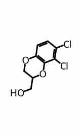 OCC1COc2ccc(Cl)c(Cl)c2O1